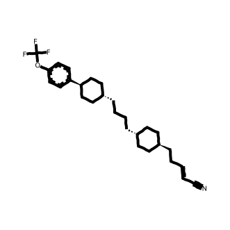 N#CC=CCC[C@H]1CC[C@H](CCCC[C@H]2CC[C@H](c3ccc(OC(F)(F)F)cc3)CC2)CC1